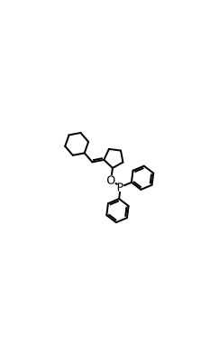 C(=C1CCCC1OP(c1ccccc1)c1ccccc1)C1CCCCC1